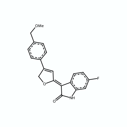 COCc1ccc(C2=CC(=C3C(=O)Nc4cc(F)ccc43)OC2)cc1